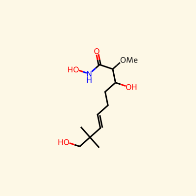 COC(C(=O)NO)C(O)CCC=CC(C)(C)CO